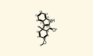 COC1=CC(C=O)C(C)(c2c[nH]c3ccccc23)C=C1